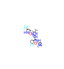 CCn1nccc1C(=O)N[C@H](c1cn2nc(C[C@H]3C[C@@H](C(F)(F)F)CNC3=O)c(C(C)C)nc2n1)[C@@H]1CCCC(F)(F)C1